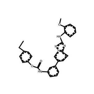 CCc1ccc(OC(=O)Nc2cccc(-c3ccc4nc(Nc5ccccc5OC)nn4c3)c2)cc1